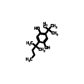 CCCC(C)(C)c1cc(O)c(C(C)(C)C)cc1O